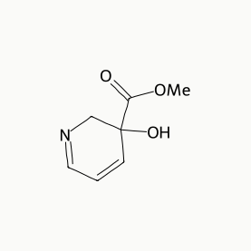 COC(=O)C1(O)C=CC=NC1